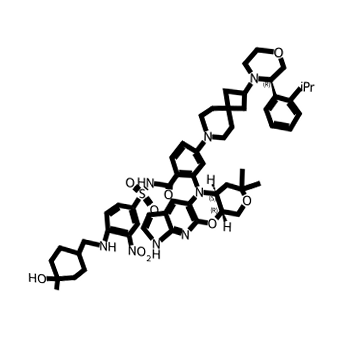 CC(C)c1ccccc1[C@@H]1COCCN1C1CC2(CCN(c3ccc(C(=O)NS(=O)(=O)c4ccc(NCC5CCC(C)(O)CC5)c([N+](=O)[O-])c4)c(N4c5cc6cc[nH]c6nc5O[C@H]5COC(C)(C)C[C@@H]54)c3)CC2)C1